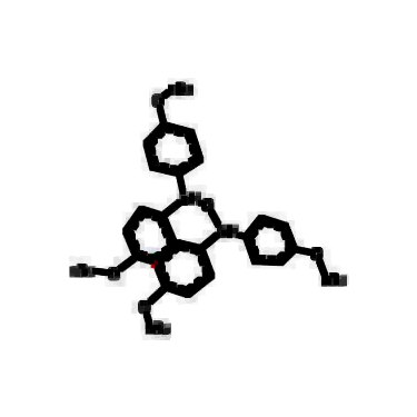 CCCCOc1ccc([SiH](O[SiH](c2ccc(OCCCC)cc2)c2ccc(OCCCC)cc2)c2ccc(OCCCC)cc2)cc1